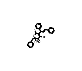 CCCC1(Cc2ccccc2)OC(=O)C(C(C=Cc2ccccc2)c2ccccc2)=C(O)C1=O